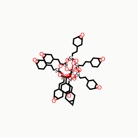 C1CC2CC2CC1CC[Si]12O[Si]3(CCC4CCC5OC5C4)O[Si]4(CCC5CCC6OC6C5)O[Si](CCC5CCC6OC6C5)(O1)O[Si]1(CCC5CCC6OC6C5)O[Si](CCC5CCC6OC6C5)(O2)O[Si](CCC2CCC5OC5C2)(O3)O[Si](CCC2CCC3OC3C2)(O4)O1